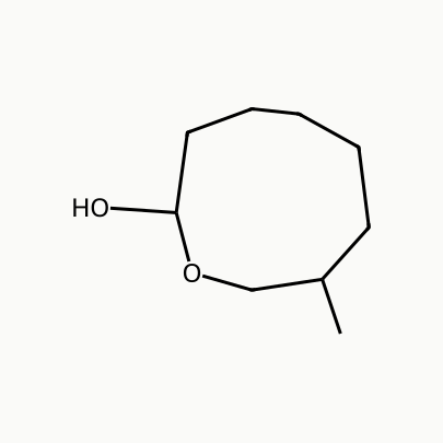 CC1CCCCCC(O)OC1